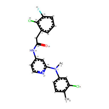 CC(=O)N(c1ccc(C)c(Cl)c1)c1cc(NC(=O)Cc2cccc(F)c2Cl)ccn1